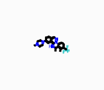 Cc1c(C(C)Nc2nncc3ccc(N4CCN(C)CC4)cc23)cccc1C(F)(F)F